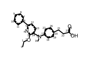 CCOc1nc(-c2ccccc2)ccc1N(C)c1ccc(CCC(=O)O)cc1